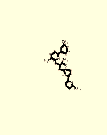 Cc1cccc(-c2cccc(CC(Cc3nc(-c4cccc(C)n4)ccc3C)C(N)=O)n2)n1